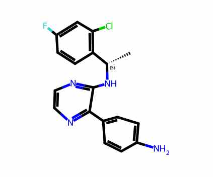 C[C@H](Nc1nccnc1-c1ccc(N)cc1)c1ccc(F)cc1Cl